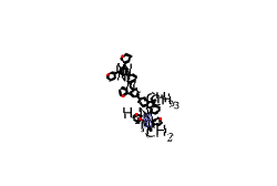 C=C(/N=C(\N=C(/N)c1cccc2c1-c1ccc(-c3ccc4c(c3)c3ccccc3n4-c3cccc(-c4nc(-c5ccccc5)nc(-c5ccccc5)n4)c3)cc1C2(C)C)c1ccccc1)c1ccccc1